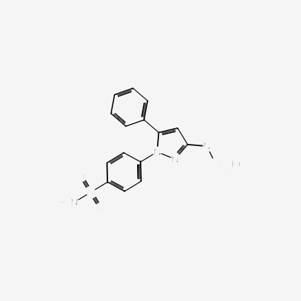 CCOC(=O)Nc1cc(-c2ccccc2)n(-c2ccc(S(N)(=O)=O)cc2)n1